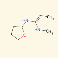 CC=C(NC)NC1CCCO1